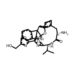 CC(C)[C@@H]1NC(=O)[C@@H](N)Cc2ccc3c(c2)C2(c4ccccc4N[C@H]2O3)c2oc1nc2-c1nc(CO)co1